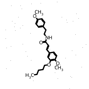 CCCCCOc1cc(/C=C/C(=O)NCCc2ccc(OC)cc2)ccc1OC